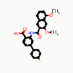 COc1cc2c(OC)cccc2cc1C(=O)Nc1cc(-c2ccc(F)cc2)ccc1C(=O)O